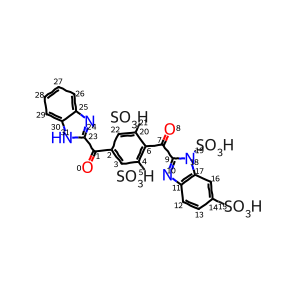 O=C(c1cc(S(=O)(=O)O)c(C(=O)c2nc3ccc(S(=O)(=O)O)cc3n2S(=O)(=O)O)c(S(=O)(=O)O)c1)c1nc2ccccc2[nH]1